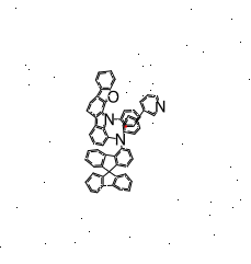 c1ccc(-n2c3c(N(c4ccc(-c5cccnc5)cc4)c4cccc5c4-c4ccccc4C54c5ccccc5-c5ccccc54)cccc3c3ccc4c5ccccc5oc4c32)cc1